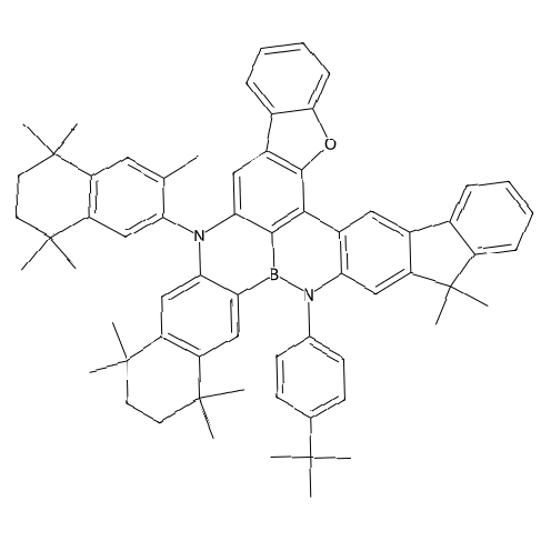 Cc1cc2c(cc1N1c3cc4c(cc3B3c5c1cc1c(oc6ccccc61)c5-c1cc5c(cc1N3c1ccc(C(C)(C)C)cc1)C(C)(C)c1ccccc1-5)C(C)(C)CCC4(C)C)C(C)(C)CCC2(C)C